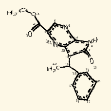 COC(=O)c1cnc2[nH]c(=O)n(C(C)c3ccccc3)c2n1